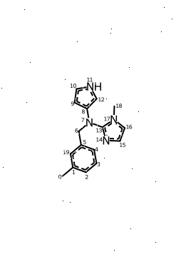 Cc1cccc(CN(c2cc[nH]c2)c2nccn2C)c1